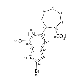 O=C(O)N1CCCCCC1c1nc2cc(Br)sc2c(=O)[nH]1